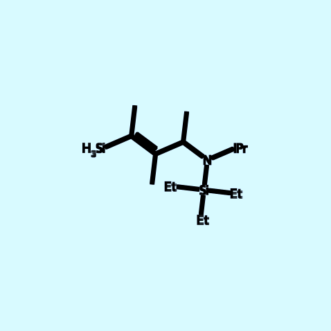 CC[Si](CC)(CC)N(C(C)C)C(C)C(C)=C(C)[SiH3]